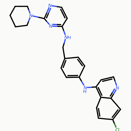 Clc1ccc2c(Nc3ccc(CNc4ccnc(N5CCCCC5)n4)cc3)ccnc2c1